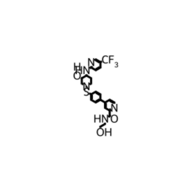 O=C(NCCO)c1cc(-c2ccc(SN3CCC(Nc4ccc(C(F)(F)F)cn4)C(O)C3)cc2)ccn1